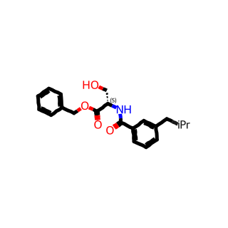 CC(C)Cc1cccc(C(=O)N[C@@H](CO)C(=O)OCc2ccccc2)c1